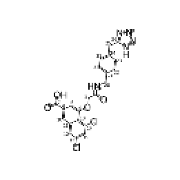 O=C(COc1cc(C(=O)O)cc2cc(Cl)cc(Cl)c12)NCc1ccc(Cc2nnn[nH]2)cc1